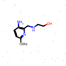 COc1ccc(N)c(CNCCO)n1